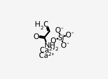 C=CC(N)=O.[Ca+2].[Ca+2].[O-][Si]([O-])([O-])[O-]